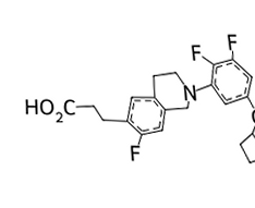 O=C(O)CCc1cc2c(cc1F)CN(c1cc(OC3CCC3)cc(F)c1F)CC2